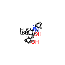 CC(C)(C)C1(C)C=C(n2nc3ccccc3n2)C(O)=C(Cc2ccccc2O)C1